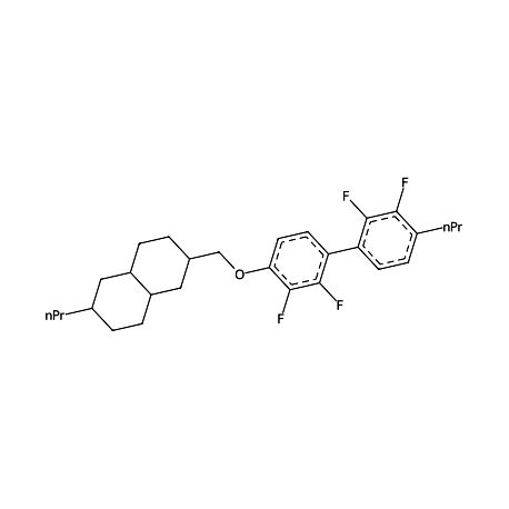 CCCc1ccc(-c2ccc(OCC3CCC4CC(CCC)CCC4C3)c(F)c2F)c(F)c1F